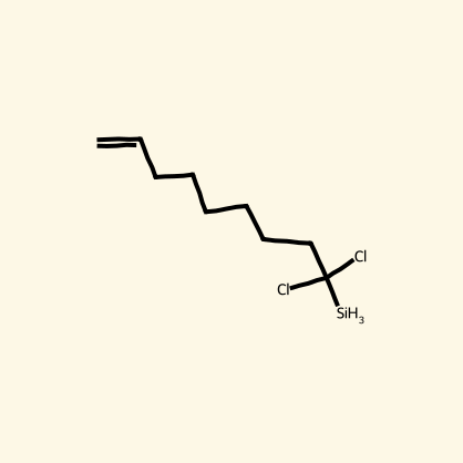 C=CCCCCCCC([SiH3])(Cl)Cl